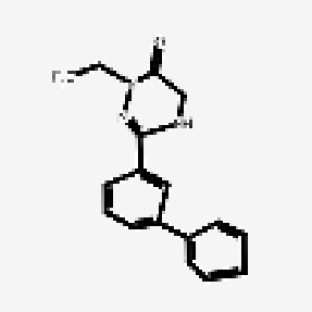 O=C1CNC(c2cccc(-c3ccccc3)c2)=NN1CC(F)(F)F